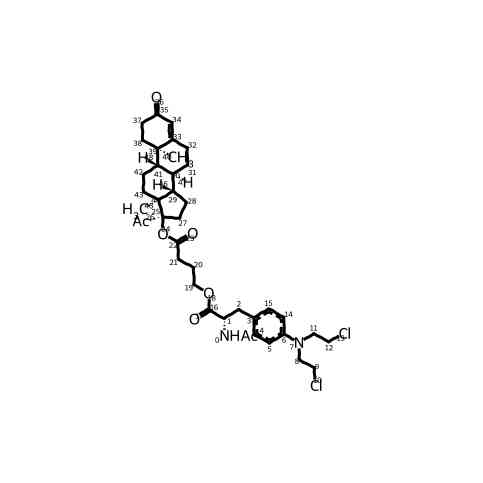 CC(=O)N[C@@H](Cc1ccc(N(CCCl)CCCl)cc1)C(=O)OCCCC(=O)O[C@]1(C(C)=O)CC[C@H]2[C@@H]3CCC4=CC(=O)CC[C@]4(C)[C@H]3CC[C@@]21C